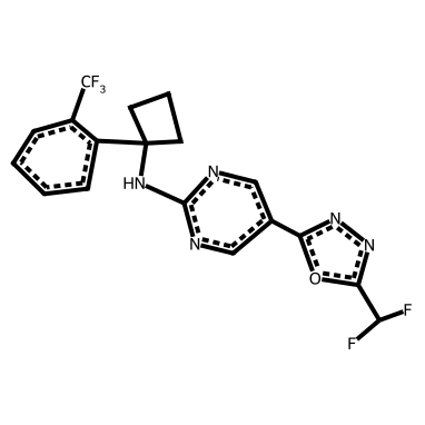 FC(F)c1nnc(-c2cnc(NC3(c4ccccc4C(F)(F)F)CCC3)nc2)o1